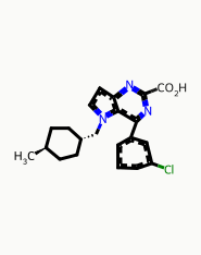 C[C@H]1CC[C@H](Cn2ccc3nc(C(=O)O)nc(-c4cccc(Cl)c4)c32)CC1